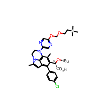 Cc1c([C@H](OC(C)(C)C)C(=O)O)c(-c2ccc(Cl)cc2)c2cc(C)n3c2c1N(c1cnc(OCOCC[Si](C)(C)C)cn1)CC3